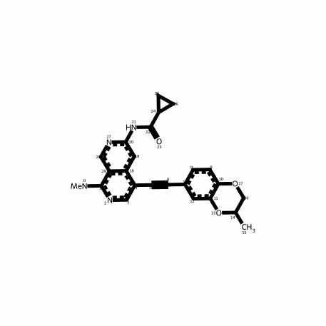 CNc1ncc(C#Cc2ccc3c(c2)OC(C)CO3)c2cc(NC(=O)C3CC3)ncc12